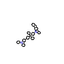 c1ccc(-n2c3ccccc3c3cc(-c4ccc([Si](c5ccccc5)(c5ccccc5)c5ccc(-n6c7ccccc7c7cc8c(cc76)-c6ccccc6C8)cc5)cc4)ccc32)cc1